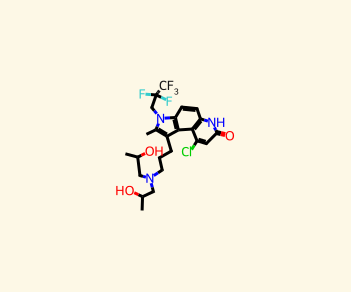 Cc1c(CCCN(CC(C)O)CC(C)O)c2c3c(Cl)cc(=O)[nH]c3ccc2n1CC(F)(F)C(F)(F)F